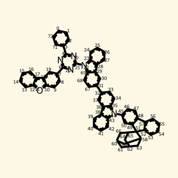 c1ccc(-c2nc(-c3ccc4oc5ccccc5c4c3)nc(-n3c4ccccc4c4cc(-c5ccc6c(c5)c5ccccc5n6-c5ccc6c(c5)C5(c7ccccc7-6)C6CC7CC(C6)CC5C7)ccc43)n2)cc1